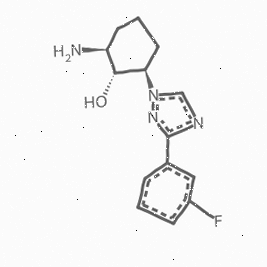 N[C@H]1CCC[C@@H](n2cnc(-c3cccc(F)c3)n2)[C@@H]1O